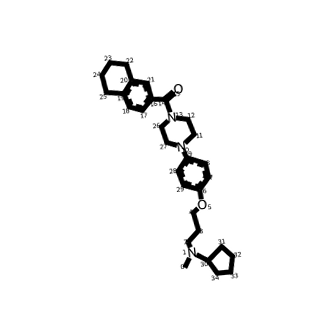 CN(CCCOc1ccc(N2CCN(C(=O)c3ccc4c(c3)CCCC4)CC2)cc1)C1CCCC1